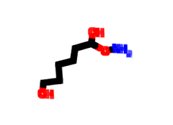 NOC(O)CCCCCO